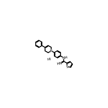 I.N=C(Nc1ccc(N2CC=C(c3ccccc3)CC2)cc1)c1cccs1